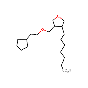 O=C(O)CCCCCCC1COCC1COCCC1CCCC1